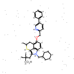 CC1Cc2c(OCc3ccc(-c4ccccc4)cn3)ccc3c2c(c(CC(C)(C)C(=O)O)n3CC2CCCCC2)S1